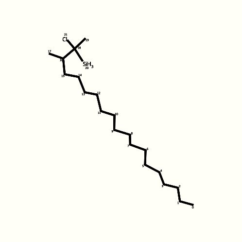 CCCCCCCCCCCCCCCCC(C)C(C)([SiH3])Cl